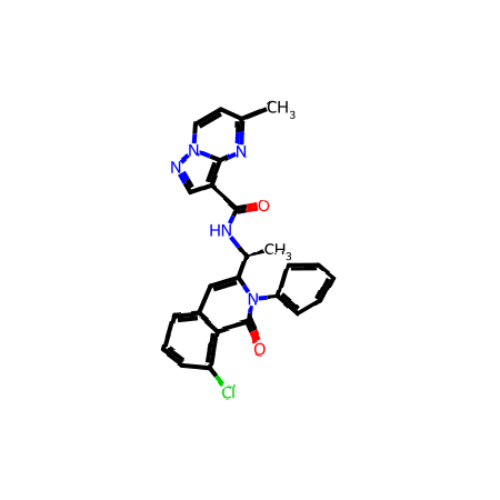 Cc1ccn2ncc(C(=O)N[C@@H](C)c3cc4cccc(Cl)c4c(=O)n3-c3ccccc3)c2n1